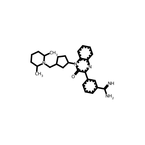 CC1CCCC(C)N1CC1CCC(n2c(=O)c(-c3cccc(C(=N)N)c3)nc3ccccc32)C1